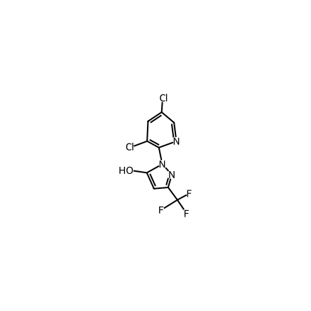 Oc1cc(C(F)(F)F)nn1-c1ncc(Cl)cc1Cl